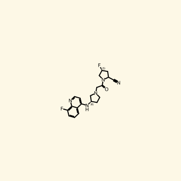 N#CC1C[C@H](F)CN1C(=O)CN1CC[C@@H](Nc2ccnc3c(F)cccc23)C1